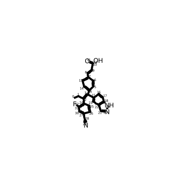 CCC(=C(c1ccc(C=CC(=O)O)cc1)c1ccc2[nH]ncc2c1)c1ccc(C#N)cc1F